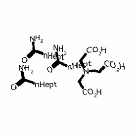 CCCCCCCC(N)=O.CCCCCCCC(N)=O.CCCCCCCC(N)=O.O=C(O)CN(CC(=O)O)CC(=O)O